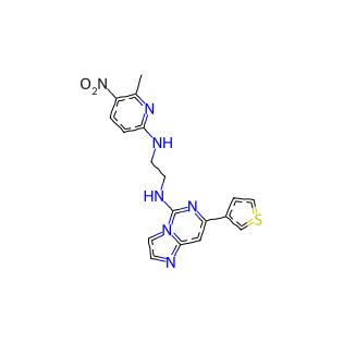 Cc1nc(NCCNc2nc(-c3ccsc3)cc3nccn23)ccc1[N+](=O)[O-]